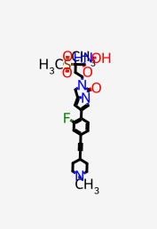 CN1CCC(C#Cc2ccc(-c3cc4n(c3)C(=O)N(CC[C@](C)(C(=O)NO)S(C)(=O)=O)C4)c(F)c2)CC1